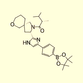 CC(C)[C@H](C)C(=O)N1C[C@]2(CCCOC2)C[C@H]1c1nc(-c2ccc(B3OC(C)(C)C(C)(C)O3)cc2)c[nH]1